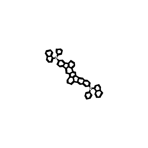 C1=CC2C=CC=C(N(c3ccccc3)c3ccc4cc5c(cc4c3)c3cccc4c6cc7c8ccc(N(c9ccccc9)c9cccc%10ccccc9%10)cc8c8cccc(c6cc5c34)c87)C2C=C1